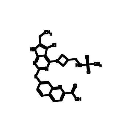 CCc1[nH]c2nc(Sc3ccc4ccc(C(=O)O)nc4c3)nc(N3CC(CNS(C)(=O)=O)C3)c2c1Cl